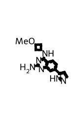 CO[C@H]1C[C@H](Nc2nc(N)nc3cc(-c4ccn[nH]4)ccc23)C1